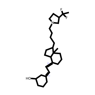 CC(F)(F)C1CCN(CCCCC2CCC3/C(=C/C=C4/CCCC(O)C4)CCCC23C)C1